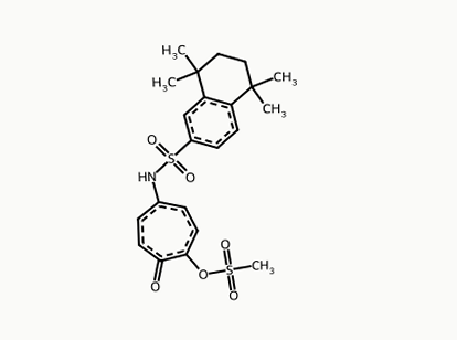 CC1(C)CCC(C)(C)c2cc(S(=O)(=O)Nc3ccc(OS(C)(=O)=O)c(=O)cc3)ccc21